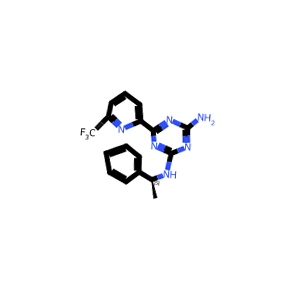 C[C@H](Nc1nc(N)nc(-c2cccc(C(F)(F)F)n2)n1)c1ccccc1